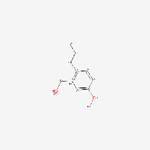 CCCc1ccc(OC)cc1[CH]O